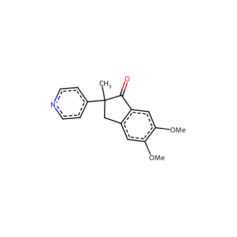 COc1cc2c(cc1OC)C(=O)C(C)(c1ccncc1)C2